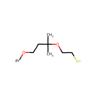 CC(C)OCCC(C)(C)OCCS